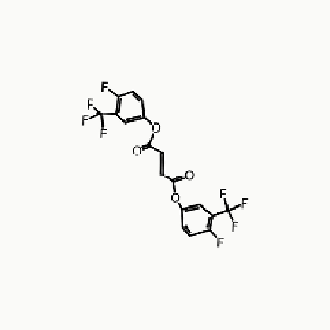 O=C(C=CC(=O)Oc1ccc(F)c(C(F)(F)F)c1)Oc1ccc(F)c(C(F)(F)F)c1